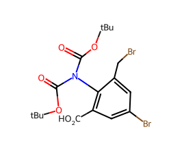 CC(C)(C)OC(=O)N(C(=O)OC(C)(C)C)c1c(CBr)cc(Br)cc1C(=O)O